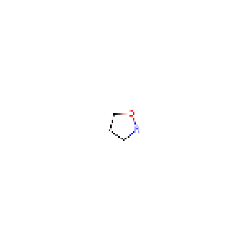 C1C[N]OC1